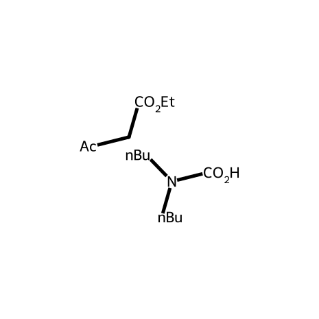 CCCCN(CCCC)C(=O)O.CCOC(=O)CC(C)=O